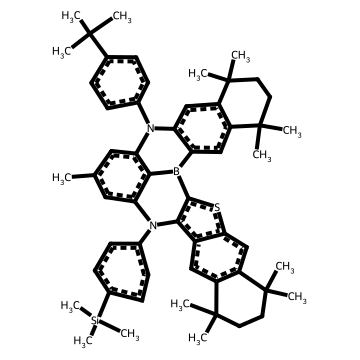 Cc1cc2c3c(c1)N(c1ccc([Si](C)(C)C)cc1)c1c(sc4cc5c(cc14)C(C)(C)CCC5(C)C)B3c1cc3c(cc1N2c1ccc(C(C)(C)C)cc1)C(C)(C)CCC3(C)C